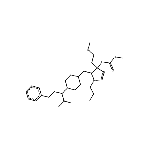 CCCN1C=NC(CCSC)(OC(=O)OC)C1CC1CCC(C(CCc2ccccc2)N(C)C)CC1